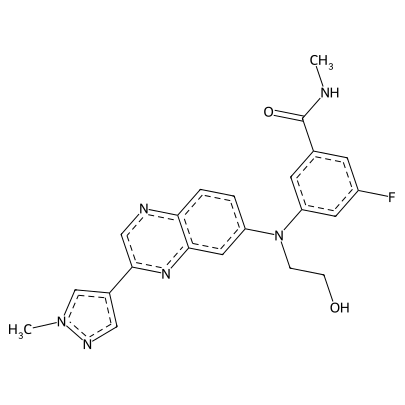 CNC(=O)c1cc(F)cc(N(CCO)c2ccc3ncc(-c4cnn(C)c4)nc3c2)c1